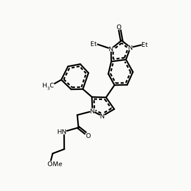 CCn1c(=O)n(CC)c2cc(-c3cnn(CC(=O)NCCOC)c3-c3cccc(C)c3)ccc21